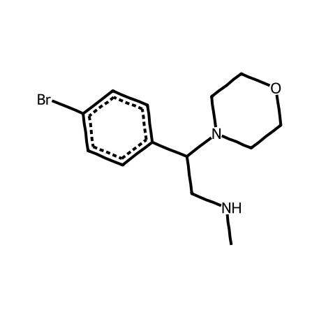 CNCC(c1ccc(Br)cc1)N1CCOCC1